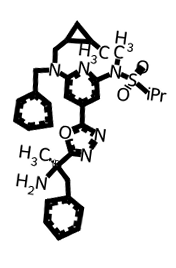 CC1CC1CN(Cc1ccccc1)c1cc(-c2nnc([C@](C)(N)Cc3ccccc3)o2)cc(N(C)S(=O)(=O)C(C)C)n1